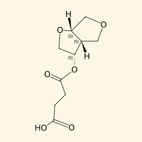 O=C(O)CCC(=O)O[C@@H]1CO[C@@H]2COC[C@@H]21